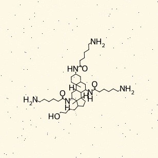 C[C@H](CCCO)C1CC[C@H]2C3C(NC(=O)CCCCCN)CC4C[C@H](NC(=O)CCCCCN)CCC4(C)[C@H]3CC(NC(=O)CCCCCN)C12C